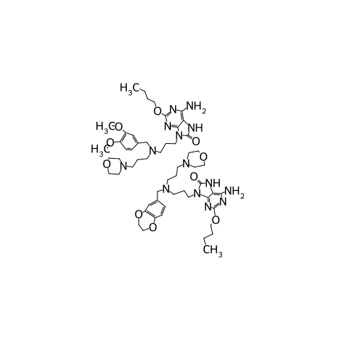 CCCCOc1nc(N)c2[nH]c(=O)n(CCCN(CCCN3CCOCC3)Cc3ccc(OC)c(OC)c3)c2n1.CCCCOc1nc(N)c2[nH]c(=O)n(CCCN(CCCN3CCOCC3)Cc3ccc4c(c3)OCCO4)c2n1